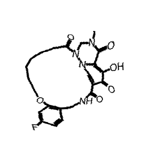 CN1CN2C(=O)CCCCCCOc3cc(F)ccc3CNC(=O)c3cn2c(c(O)c3=O)C1=O